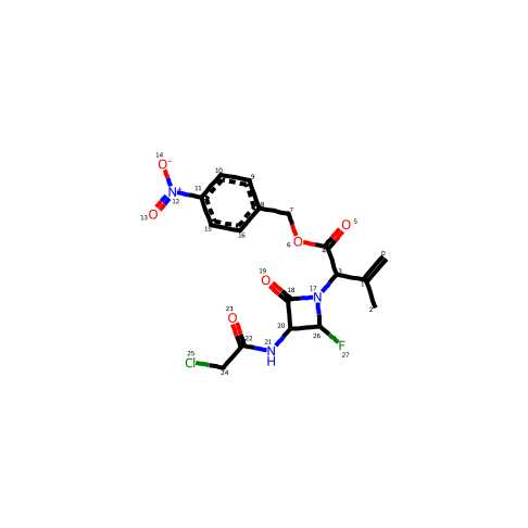 C=C(C)C(C(=O)OCc1ccc([N+](=O)[O-])cc1)N1C(=O)C(NC(=O)CCl)C1F